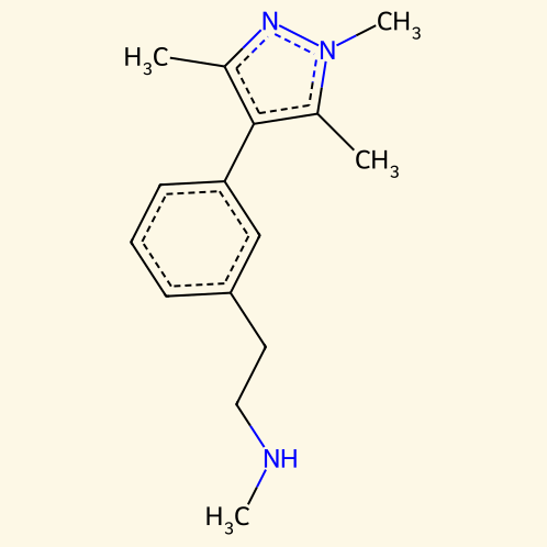 CNCCc1cccc(-c2c(C)nn(C)c2C)c1